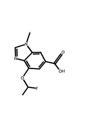 CC(F)Oc1cc(C(=O)O)cc2c1ncn2C